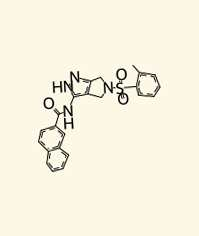 Cc1ccccc1S(=O)(=O)N1Cc2n[nH]c(NC(=O)c3ccc4ccccc4c3)c2C1